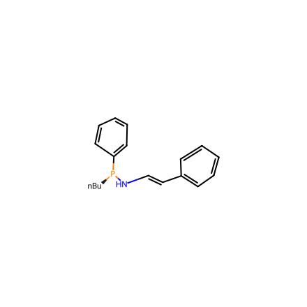 CCCC[P@](NC=Cc1ccccc1)c1ccccc1